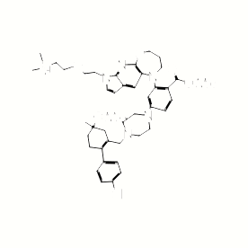 COC(=O)c1ccc(N2CCN(CC3=C(c4ccc(Cl)cc4)CCC(C)(OC)C3)CC2)cc1N1CCCOc2nc3c(ccn3CCOCC[Si](C)(C)C)cc21